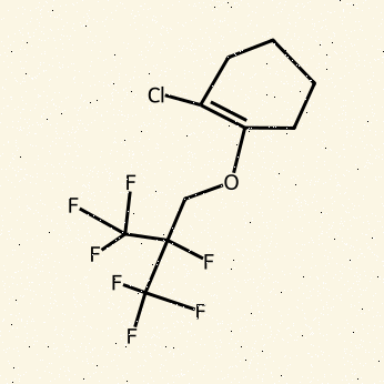 FC(F)(F)C(F)(COC1=C(Cl)CCCC1)C(F)(F)F